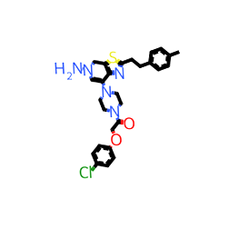 Cc1ccc(CCc2nc3c(s2)CN(N)C=C3N2CCN(C(=O)COc3ccc(Cl)cc3)CC2)cc1